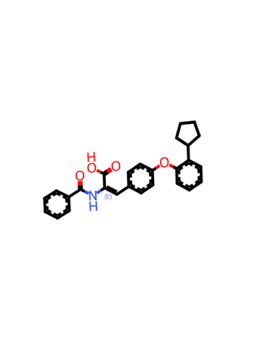 O=C(O)/C(=C\c1ccc(Oc2ccccc2C2CCCC2)cc1)NC(=O)c1ccccc1